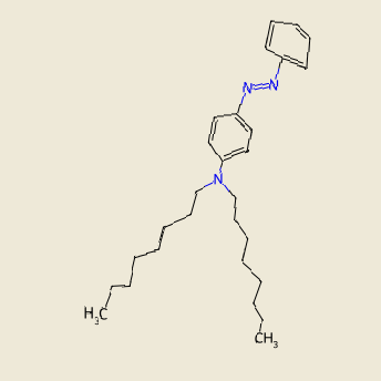 CCCCCCCCN(CCCCCCCC)c1ccc(N=Nc2ccccc2)cc1